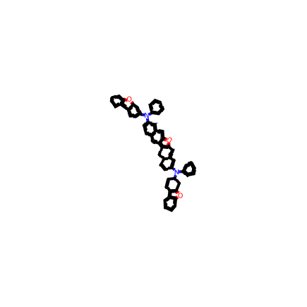 C1=CC2Cc3c(oc4cc5cc(N(c6ccccc6)c6ccc7c(c6)oc6ccccc67)ccc5cc34)C=C2C=C1N(c1ccccc1)C1C=Cc2c(oc3ccccc23)C1